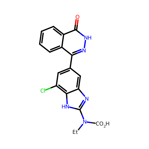 CCN(C(=O)O)c1nc2cc(-c3n[nH]c(=O)c4ccccc34)cc(Cl)c2[nH]1